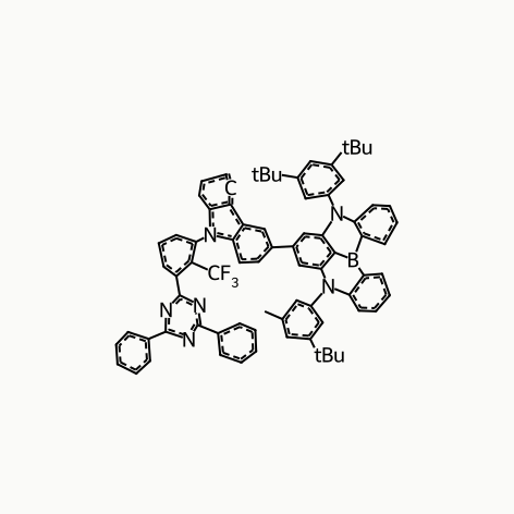 Cc1cc(N2c3ccccc3B3c4ccccc4N(c4cc(C(C)(C)C)cc(C(C)(C)C)c4)c4cc(-c5ccc6c(c5)c5ccccc5n6-c5cccc(-c6nc(-c7ccccc7)nc(-c7ccccc7)n6)c5C(F)(F)F)cc2c43)cc(C(C)(C)C)c1